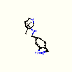 c1cc2cn[nH]c2cc1CN[C@H]1CN2CCC1CC2